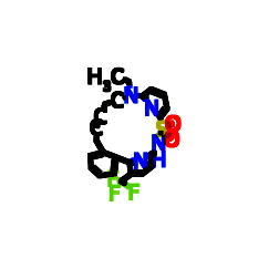 CCN1CCCCCc2ccccc2-c2nc(ccc2C(F)(F)F)NS(=O)(=O)c2cccc1n2